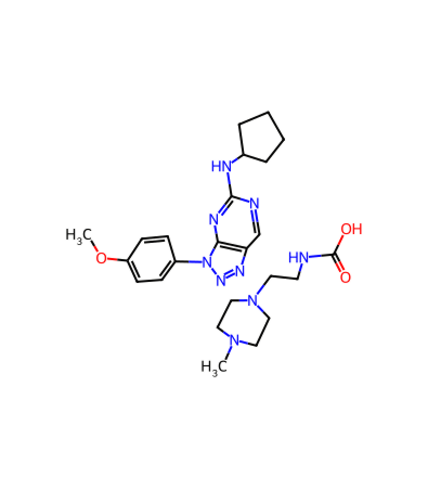 CN1CCN(CCNC(=O)O)CC1.COc1ccc(-n2nnc3cnc(NC4CCCC4)nc32)cc1